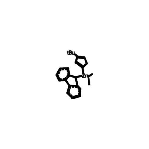 C[C](C)=[Zr]([C]1=CC(C(C)(C)C)=CC1)[CH]1c2ccccc2-c2ccccc21